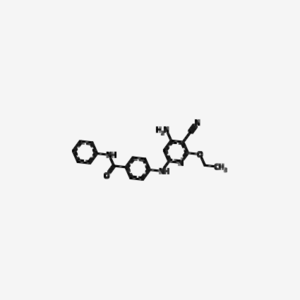 CCOc1nc(Nc2ccc(C(=O)Nc3ccccc3)cc2)cc(N)c1C#N